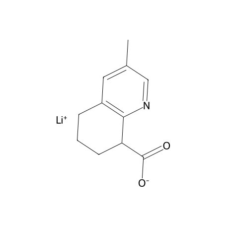 Cc1cnc2c(c1)CCCC2C(=O)[O-].[Li+]